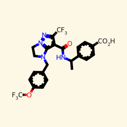 CC(NC(=O)c1c(C(F)(F)F)nn2c1N(Cc1ccc(OC(F)(F)F)cc1)CC2)c1ccc(C(=O)O)cc1